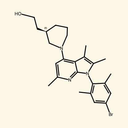 Cc1cc(N2CCC[C@H](CCO)C2)c2c(C)c(C)n(-c3c(C)cc(Br)cc3C)c2n1